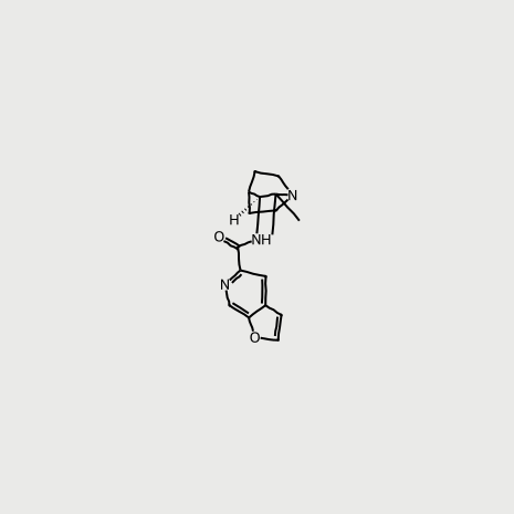 CC1(C)[C@@H](NC(=O)c2cc3ccoc3cn2)C2CCN1CC2